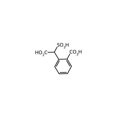 O=C(O)c1ccccc1C(C(=O)O)S(=O)(=O)O